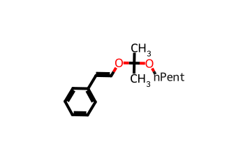 CCCCCOC(C)(C)OC=Cc1ccccc1